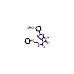 COc1cccc(-c2ncc3c(n2)n(C)c(=O)n3C(=O)N(C)CCOc2ccccc2)c1